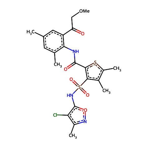 COCC(=O)c1cc(C)cc(C)c1NC(=O)c1sc(C)c(C)c1S(=O)(=O)Nc1onc(C)c1Cl